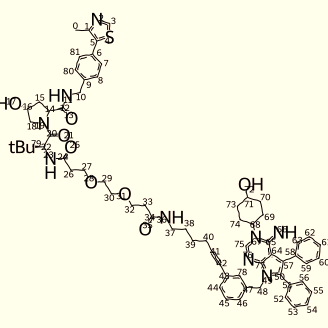 Cc1ncsc1-c1ccc(CNC(=O)[C@@H]2C[C@@H](O)CN2C(=O)[C@@H](NC(=O)CCOCCOCCC(=O)NCCCCC#Cc2cccc(Cn3c(-c4ccccc4)c(-c4ccccc4)c4c(=N)n(C5CCC(O)CC5)cnc43)c2)C(C)(C)C)cc1